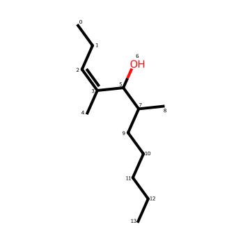 CCC=C(C)C(O)C(C)CCCCC